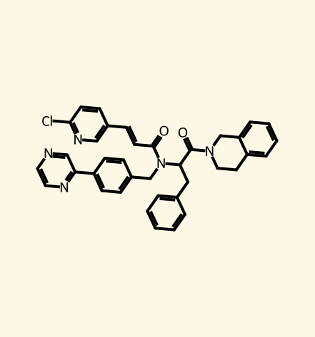 O=C(C(Cc1ccccc1)N(Cc1ccc(-c2cnccn2)cc1)C(=O)C=Cc1ccc(Cl)nc1)N1CCc2ccccc2C1